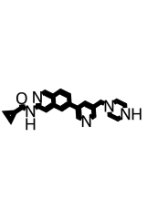 O=C(Nc1cc2cc(-c3cncc(CN4CCNCC4)c3)ccc2cn1)C1CC1